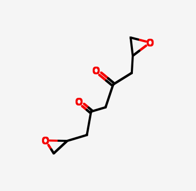 O=C(CC(=O)CC1CO1)CC1CO1